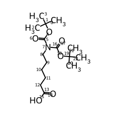 CC(C)(C)OC(=O)N(CCCCCC(=O)O)C(=O)OC(C)(C)C